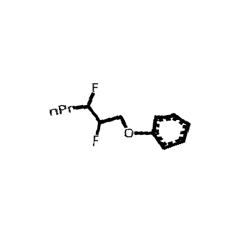 CCCC(F)C(F)COc1ccccc1